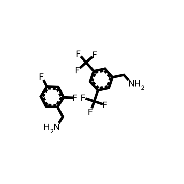 NCc1cc(C(F)(F)F)cc(C(F)(F)F)c1.NCc1ccc(F)cc1F